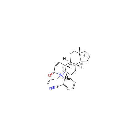 C=CC[N+]1(c2ccccc2C#N)C(=O)C=C[C@]2(C)[C@H]3CC[C@]4(C)CCC[C@H]4[C@@H]3CC[C@@H]21